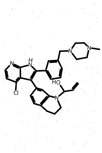 C=CC(O)N1CCCc2ccc(-c3c(-c4cccc(CN5CCN(C)CC5)c4)[nH]c4nccc(Cl)c34)cc21